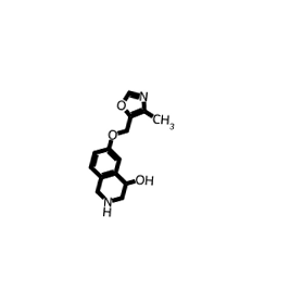 Cc1ncoc1COc1ccc2c(c1)C(O)CNC2